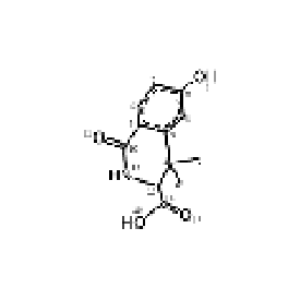 CC1(C)c2cc(O)ccc2C(=O)NC1C(=O)O